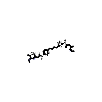 C=C(/C=C\C)CC(=C)Nc1nnc(CCCCc2ccc(NC(=O)C/C(C)=C/C(=C\C)C(C)O)nn2)s1